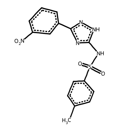 Cc1ccc(S(=O)(=O)Nc2nc(-c3cccc([N+](=O)[O-])c3)n[nH]2)cc1